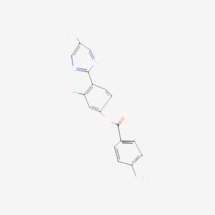 CCCCCCCc1ccc(C(=O)Oc2ccc(-c3ncc(CCCCCC)cn3)c(F)c2)cc1